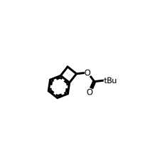 CC(C)(C)C(=O)OC1Cc2ccccc21